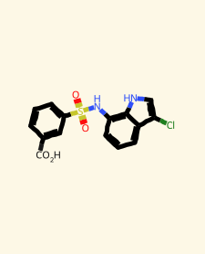 O=C(O)c1cccc(S(=O)(=O)Nc2cccc3c(Cl)c[nH]c23)c1